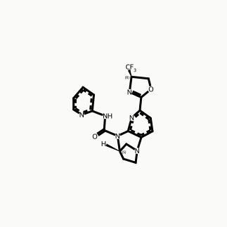 O=C(Nc1ccccn1)N1c2nc(C3=N[C@@H](C(F)(F)F)CO3)ccc2N2CC[C@H]1C2